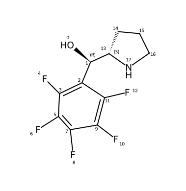 O[C@H](c1c(F)c(F)c(F)c(F)c1F)[C@@H]1CCCN1